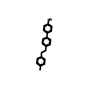 CCCc1ccc(-c2ccc(CCc3ccc(C)cc3)cc2)cc1